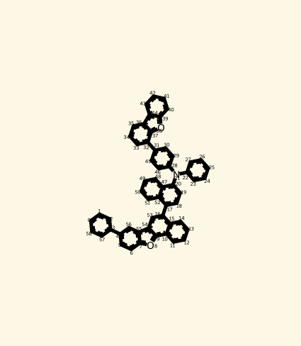 c1ccc(-c2ccc3oc4c5ccccc5c(-c5ccc(N(c6ccccc6)c6ccc(-c7cccc8c7oc7ccccc78)cc6)c6ccccc56)cc4c3c2)cc1